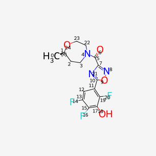 C[C@@H]1CCN(C(=O)c2noc(-c3cc(F)c(F)c(O)c3F)n2)CCO1